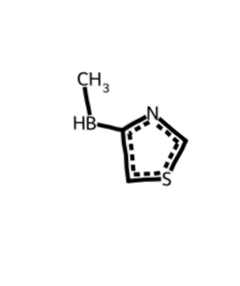 CBc1cscn1